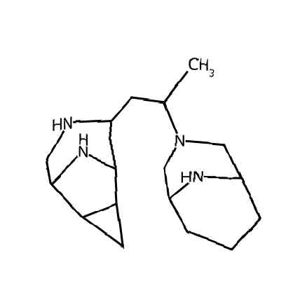 CC(CC1NCC2NC1C1CC21)N1CC2CCCC(C1)N2